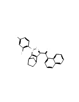 O=C(c1nn(-c2ccc(F)cc2F)c2c1C1CCC2C1)c1cccc2ccccc12